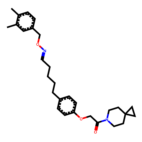 Cc1ccc(CON=CCCCCc2ccc(OCC(=O)N3CCC4(CC3)CC4)cc2)cc1C